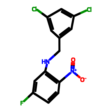 O=[N+]([O-])c1ccc(F)cc1NCc1cc(Cl)cc(Cl)c1